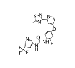 Cc1nc(-c2cc(Oc3ccc(NC(=O)Nc4cncc(C(F)(F)F)c4)c(F)c3)ccn2)ns1